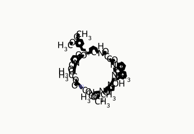 COc1ccc(CC[C@H]2OC(=O)C3CCCCN3C(=O)C(=O)C(C)(C)COC(=O)/C=C/CCN(C)C(=O)[C@H](CC(C)C)N(C)C(=O)[C@H]3CCCN3C(O)[C@H](Cc3ccccc3)N(C)C(=O)[C@H](c3ccccc3)NC(=O)CCC(=O)Nc3cccc2c3)cc1OC